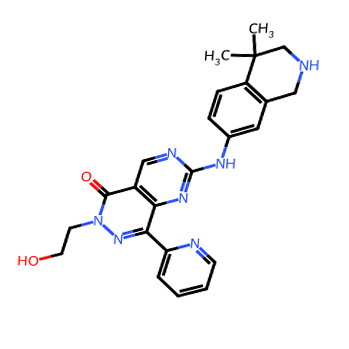 CC1(C)CNCc2cc(Nc3ncc4c(=O)n(CCO)nc(-c5ccccn5)c4n3)ccc21